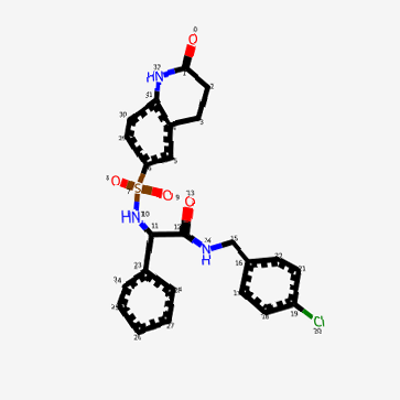 O=C1CCc2cc(S(=O)(=O)NC(C(=O)NCc3ccc(Cl)cc3)c3ccccc3)ccc2N1